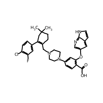 CC1(C)CCC(CN2CCN(c3ccc(C(=O)O)c(Oc4cnc5[nH]ccc5c4)c3)CC2)=C(c2ccc(Cl)c(F)c2)C1